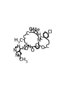 CO[C@H]1CCC[C@H](C)CS(=O)(/C=N/c2ncnc3nn(C)cc23)=NC(=O)c2ccc3c(c2)N(Cc2ccc(Cl)cc2CCCCO3)C[C@@H]2CC[C@H]21